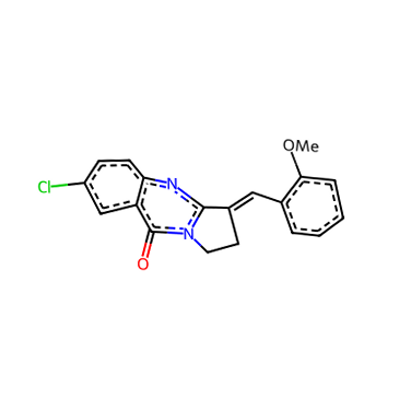 COc1ccccc1/C=C1\CCn2c1nc1ccc(Cl)cc1c2=O